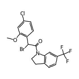 COc1cc(Cl)ccc1C(Br)C(=O)N1CCc2ccc(C(F)(F)F)cc21